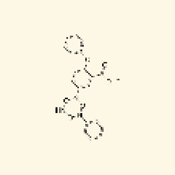 COC(=O)c1cc(N2ONON(c3ccccc3)O2)ccc1Oc1ccccc1